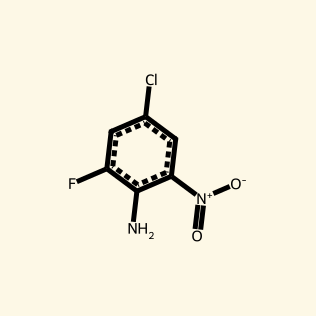 Nc1c(F)cc(Cl)cc1[N+](=O)[O-]